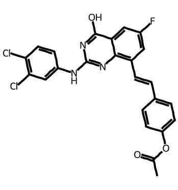 CC(=O)Oc1ccc(C=Cc2cc(F)cc3c(O)nc(Nc4ccc(Cl)c(Cl)c4)nc23)cc1